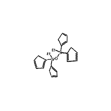 CC[Si](O[Si](CC)(C1=CC=CC1)C1=CC=CC1)(C1=CC=CC1)C1=CC=CC1